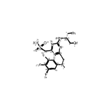 CC(C)C[C@H](CO)Nc1nc(C[C@@H](C)c2cc(F)c(F)c(F)c2)nc(CS(N)(=O)=O)n1